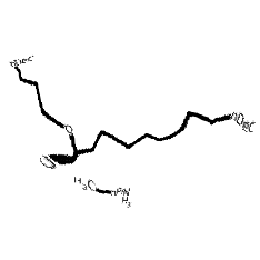 CCCC.CCCCCCCCCCCCCCCCCC(=O)OCCCCCCCCCCCCC.N